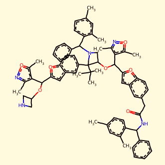 Cc1ccc(C(NC(=O)Cc2ccc3oc(C(OC4CN(C(c5ccccc5)c5ccc(C)cc5C)C4(c4ccc5oc(C(OC6CNC6)c6c(C)noc6C)cc5c4)C(C)(C)C)c4c(C)noc4C)cc3c2)c2ccccc2)c(C)c1